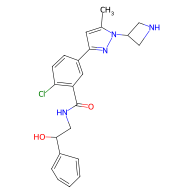 Cc1cc(-c2ccc(Cl)c(C(=O)NCC(O)c3ccccc3)c2)nn1C1CNC1